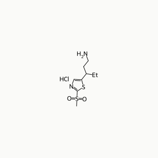 CCC(CCN)c1cnc(S(C)(=O)=O)s1.Cl